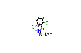 CC(=O)NNCc1c(Cl)cccc1Cl